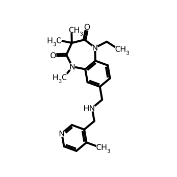 CCN1C(=O)C(C)(C)C(=O)N(C)c2cc(CNCc3cnccc3C)ccc21